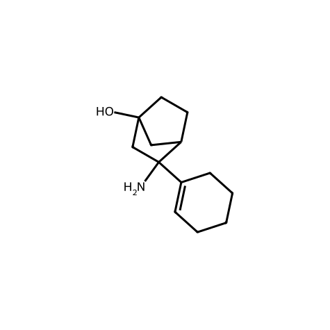 NC1(C2=CCCCC2)CC2(O)CCC1C2